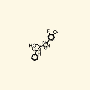 COc1ccc(-c2noc([C@H](CO)NC(=O)c3ccccc3)n2)cc1F